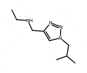 CCNCc1cn(CC(C)C)nn1